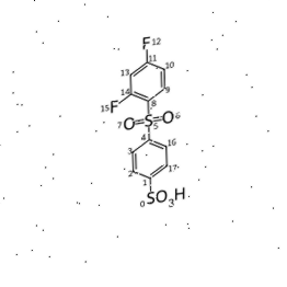 O=S(=O)(O)c1ccc(S(=O)(=O)c2ccc(F)cc2F)cc1